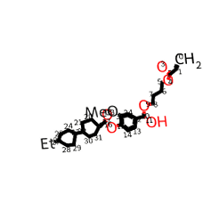 C=CC(=O)OCCCCOC(O)c1ccc(OC(=O)C2CCC(C3CCC(CC)CC3)CC2)c(OC)c1